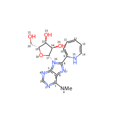 CNc1ncnc2c1nc(C1=CC=CC=CN1)n2[C@@H]1O[C@H](CO)[C@@H](O)[C@H]1O